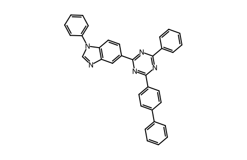 c1ccc(-c2ccc(-c3nc(-c4ccccc4)nc(-c4ccc5c(c4)ncn5-c4ccccc4)n3)cc2)cc1